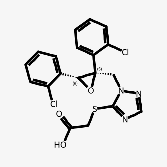 O=C(O)CSc1ncnn1C[C@]1(c2ccccc2Cl)O[C@@H]1c1ccccc1Cl